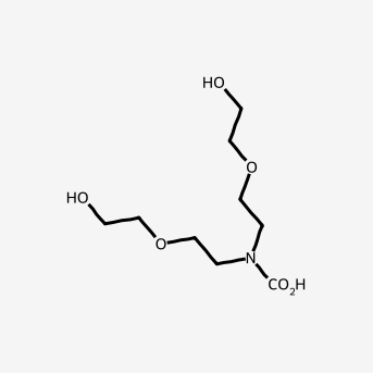 O=C(O)N(CCOCCO)CCOCCO